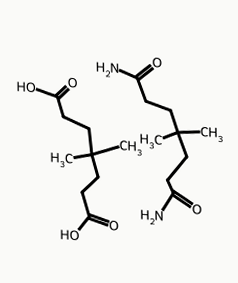 CC(C)(CCC(=O)O)CCC(=O)O.CC(C)(CCC(N)=O)CCC(N)=O